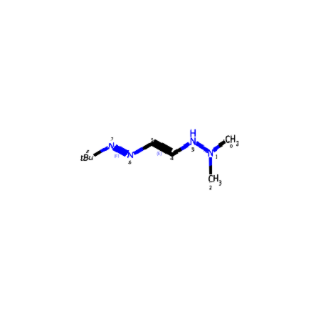 CN(C)N/C=C/N=N/C(C)(C)C